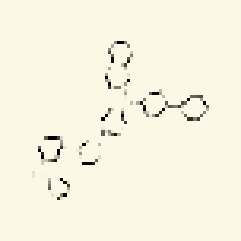 C1=CCCC(c2ccc(N(c3ccc(C4C=C(c5cccc6oc7ccccc7c56)C=CC4)cc3)c3ccc4ccccc4c3)cc2)=C1